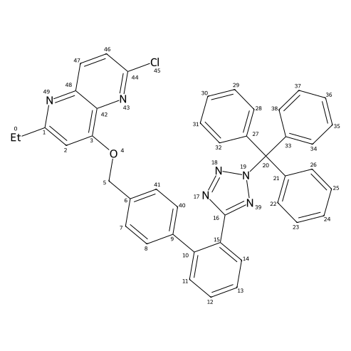 CCc1cc(OCc2ccc(-c3ccccc3-c3nnn(C(c4ccccc4)(c4ccccc4)c4ccccc4)n3)cc2)c2nc(Cl)ccc2n1